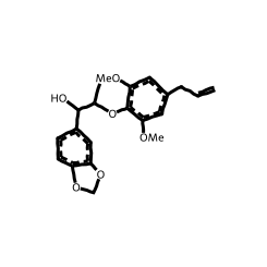 C=CCc1cc(OC)c(OC(C)C(O)c2ccc3c(c2)OCO3)c(OC)c1